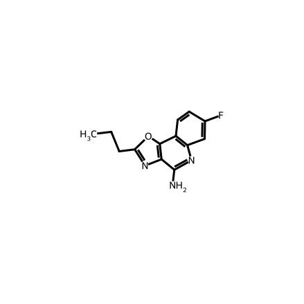 CCCc1nc2c(N)nc3cc(F)ccc3c2o1